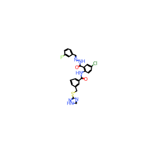 O=C(Nc1ccc(Cl)cc1C(=O)NN=Cc1cccc(F)c1)c1cccc(CSc2nc[nH]n2)c1